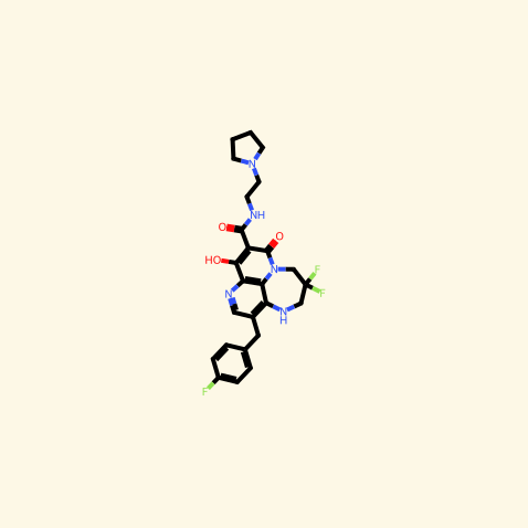 O=C(NCCN1CCCC1)c1c(O)c2ncc(Cc3ccc(F)cc3)c3c2n(c1=O)CC(F)(F)CN3